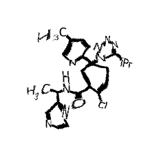 Cc1ccc(C2(n3nnnc3C(C)C)C=C(C(=O)NC(C)c3cnccn3)C(Cl)=CC2)nc1